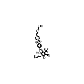 CN(C)CCCn1c(O)c(/N=N/c2ccc(S(=O)(=O)N3CCN(CCOCCO)CC3)cc2)c(C(F)(F)F)c(C#N)c1=O